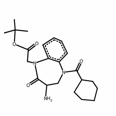 CC(C)(C)OC(=O)CN1C(=O)C(N)CN(C(=O)C2CCCCC2)c2ccccc21